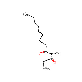 C=C(C(=O)CCCCCCCCCCC)C(=O)CCCCCCCCCCCCCCCCC